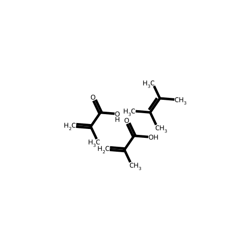 C=C(C)C(=O)O.C=C(C)C(=O)O.CC(C)=C(C)C